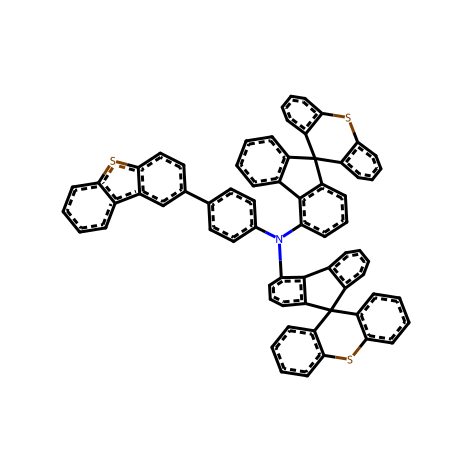 c1ccc2c(c1)Sc1ccccc1C21c2ccccc2-c2c(N(c3ccc(-c4ccc5sc6ccccc6c5c4)cc3)c3cccc4c3-c3ccccc3C43c4ccccc4Sc4ccccc43)cccc21